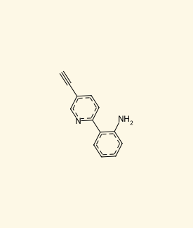 C#Cc1ccc(-c2ccccc2N)nc1